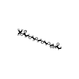 CCC(=O)NCCOCCOCCOCCOCCC(=O)OC(C)(C)C